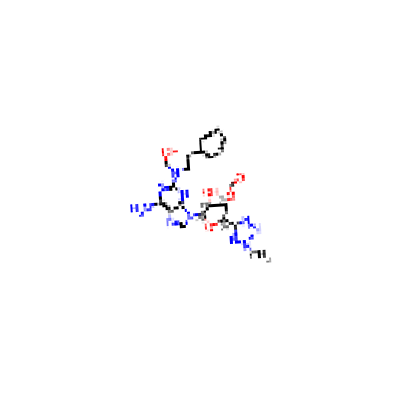 Cn1nnc([C@H]2O[C@@H](n3cnc4c(N)nc(N(CO)CCc5ccccc5)nc43)[C@H](O)[C@@H]2OC=O)n1